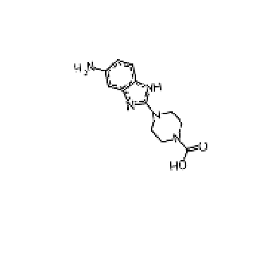 Nc1ccc2[nH]c(N3CCN(C(=O)O)CC3)nc2c1